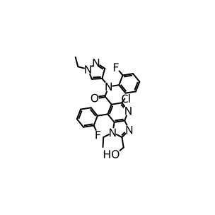 CCn1cc(N(C(=O)c2c(Cl)nc3nc(CO)n(CC)c3c2-c2ccccc2F)c2ccccc2F)cn1